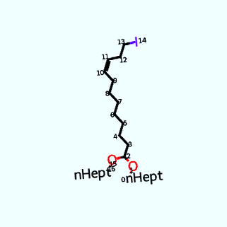 CCCCCCCOC(CCCCCCC/C=C\CCI)OCCCCCCC